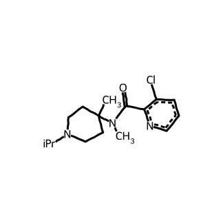 CC(C)N1CCC(C)(N(C)C(=O)c2ncccc2Cl)CC1